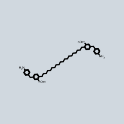 CCCCCCCCc1cc(Cc2ccc(N)cc2)ccc1CCCCCCCCCCCCCCCCCCCCc1ccc(Cc2ccc(N)cc2)cc1CCCCCCCC